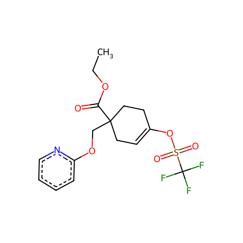 CCOC(=O)C1(COc2ccccn2)CC=C(OS(=O)(=O)C(F)(F)F)CC1